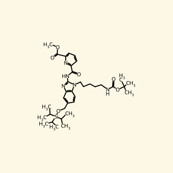 COC(=O)c1cccc(C(=O)Nc2nc3cc(CO[Si](C(C)C)(C(C)C)C(C)C)ccc3n2CCCCCNC(=O)OC(C)(C)C)n1